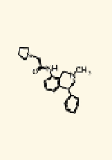 CN1Cc2c(NC(=O)CN3CCCC3)cccc2C(c2ccccc2)C1